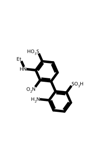 CCNc1c(S(=O)(=O)O)ccc(-c2c(N)cccc2S(=O)(=O)O)c1[N+](=O)[O-]